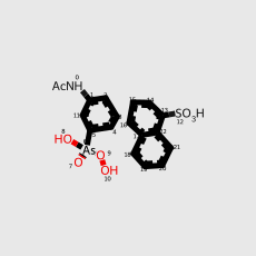 CC(=O)Nc1cccc([As](=O)(O)OO)c1.O=S(=O)(O)c1cccc2ccccc12